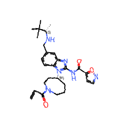 C=CC(=O)N1CCC[C@@H](n2c(NC(=O)c3ccno3)nc3cc(CN[C@@H](C)C(C)(C)C)ccc32)CC1